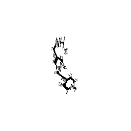 CN1CCC(Cn2cc(CN)cn2)CC1